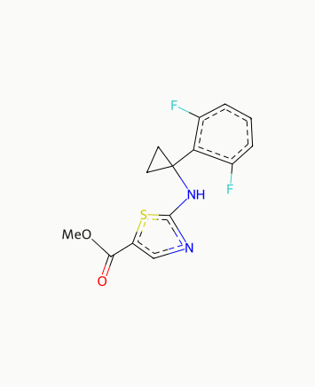 COC(=O)c1cnc(NC2(c3c(F)cccc3F)CC2)s1